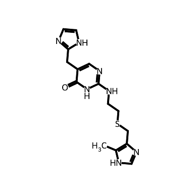 Cc1[nH]cnc1CSCCNc1ncc(Cc2ncc[nH]2)c(=O)[nH]1